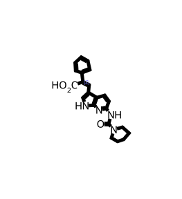 O=C(O)/C(=C\c1c[nH]c2nc(NC(=O)N3CCCCC3)ccc12)c1ccccc1